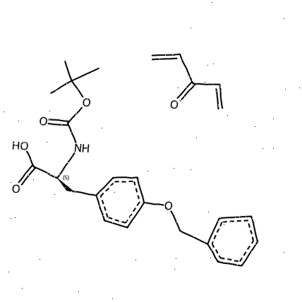 C=CC(=O)C=C.CC(C)(C)OC(=O)N[C@@H](Cc1ccc(OCc2ccccc2)cc1)C(=O)O